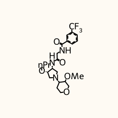 CCCO[C@H]1CN(C2CCOCC2OC)C[C@@H]1NC(=O)CNC(=O)c1cccc(C(F)(F)F)c1